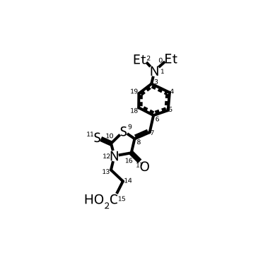 CCN(CC)c1ccc(/C=C2\SC(=S)N(CCC(=O)O)C2=O)cc1